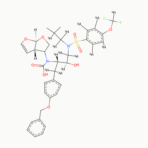 [2H]c1c([2H])c(S(=O)(=O)N(C([2H])([2H])C([2H])(C)C)C([2H])([2H])[C@@]([2H])(O)[C@@]([2H])(N(C(=O)O)C2CO[C@@H]3OC=C[C@@H]23)C([2H])([2H])c2ccc(OCc3ccccc3)cc2)c([2H])c([2H])c1OC([2H])(F)F